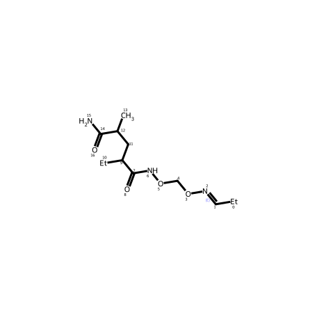 CC/C=N/OCONC(=O)C(CC)CC(C)C(N)=O